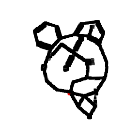 O=S(=O)(CF)NC1CCC2OC3[N@@]4C1Cc1cccc(c1F)-c1ccccc1OCCOC234